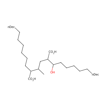 CCCCCCCCCCCCCCCCC(C(=O)O)C(C)CC(C(=O)O)C(O)CCCCCCCCCCCCCCC